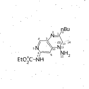 CCCCC1=Nc2cnc(NC(=O)OCC)cc2N(N)[C@H]1C